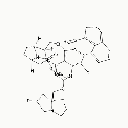 C#Cc1cccc2cccc(-c3nc4c5c(nc(OC[C@@]67CCCN6C[C@H](F)C7)nc5c3F)N3C[C@H]5CC[C@@H]([C@H]3CO4)N5C(=O)OC(C)(C)C)c12